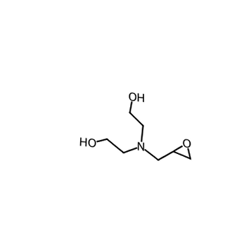 OCCN(CCO)CC1CO1